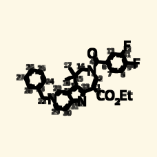 CCOC(=O)C1=CN(C(=O)c2ccc(F)c(F)c2)CC(C)(C)c2c3cn(Cc4ccccc4)ccc-3nc21